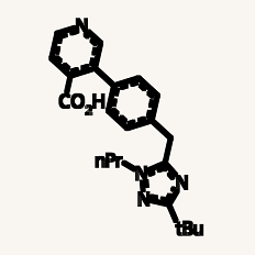 CCCn1nc(C(C)(C)C)nc1Cc1ccc(-c2cnccc2C(=O)O)cc1